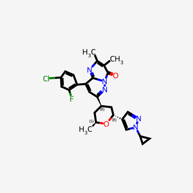 Cc1nc2c(-c3ccc(Cl)cc3F)cc([C@@H]3C[C@H](C)O[C@@H](c4cnn(C5CC5)c4)C3)nn2c(=O)c1C